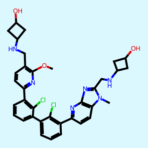 COc1nc(-c2cccc(-c3cccc(-c4ccc5c(n4)nc(CNC4CC(O)C4)n5C)c3Cl)c2Cl)ccc1CNC1CC(O)C1